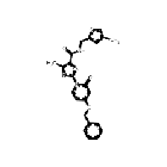 Cc1csc(CNC(=O)c2sc(-n3ccc(OCc4ccccc4)cc3=O)nc2C)c1